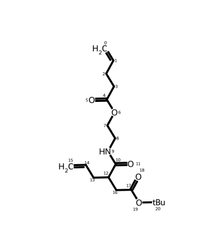 C=CCCC(=O)OCCNC(=O)C(CC=C)CC(=O)OC(C)(C)C